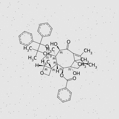 CC1=C2C(=O)[C@H](O)[C@]3(C)[C@@H](OC(c4ccccc4)(c4ccccc4)C(C)(C)C)C[C@H]4OC[C@@]4(C)[C@H]3[C@H](OC(=O)c3ccccc3)[C@](O)(C[C@@H]1C)C2(C)C